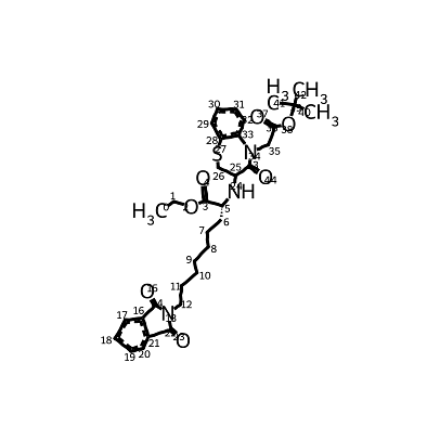 CCOC(=O)[C@@H](CCCCCCCN1C(=O)c2ccccc2C1=O)NC1CSc2ccccc2N(CC(=O)OC(C)(C)C)C1=O